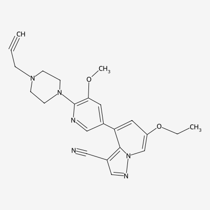 C#CCN1CCN(c2ncc(-c3cc(OCC)cn4ncc(C#N)c34)cc2OC)CC1